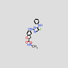 CNOC(=O)C1Cc2cc(Nc3ncc(F)c(Nc4ccccc4)n3)ccc2O1